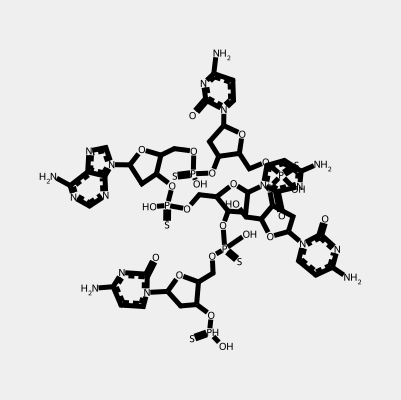 Nc1ccn(C2CC(O[PH](O)=S)C(COP(O)(=S)OC3CC(n4ccc(N)nc4=O)OC3COP(O)(=S)OC3CC(n4cnc5c(N)ncnc54)OC3COP(O)(=S)OC3CC(n4ccc(N)nc4=O)OC3COP(O)(=S)OC3CC(n4ccc(N)nc4=O)OC3CO)O2)c(=O)n1